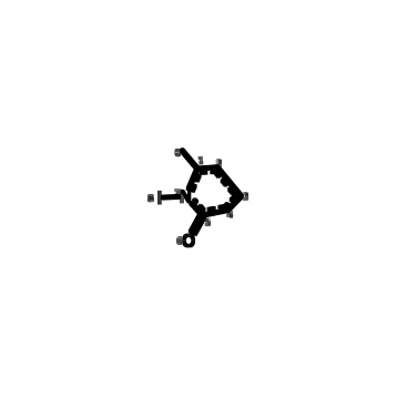 Cc1cccc(=O)n1I